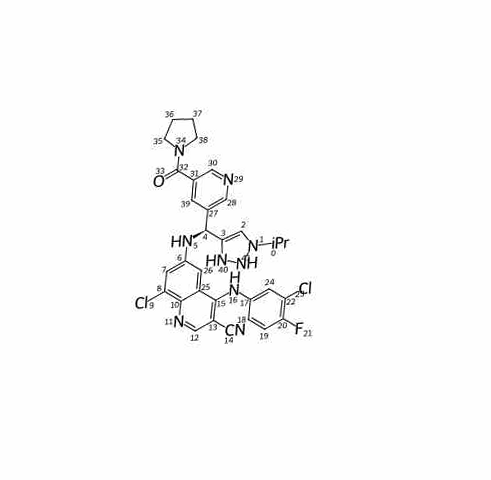 CC(C)N1C=C([C@@H](Nc2cc(Cl)c3ncc(C#N)c(Nc4ccc(F)c(Cl)c4)c3c2)c2cncc(C(=O)N3CCCC3)c2)NN1